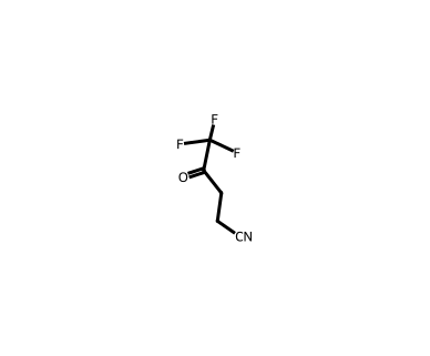 N#CCCC(=O)C(F)(F)F